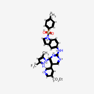 CCOC(=O)c1cncc(-c2cnc(Nc3ccc4c(ccn4S(=O)(=O)c4ccc(C)cc4)c3)nc2N2NC(C(F)(F)F)C=C2C)c1